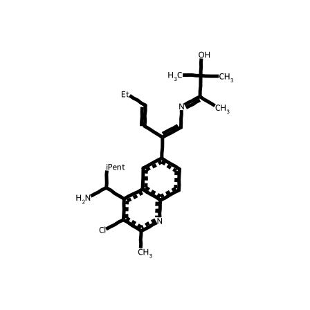 CC/C=C/C(=C\N=C(/C)C(C)(C)O)c1ccc2nc(C)c(Cl)c(C(N)C(C)CCC)c2c1